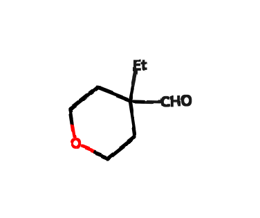 CCC1(C=O)CCOCC1